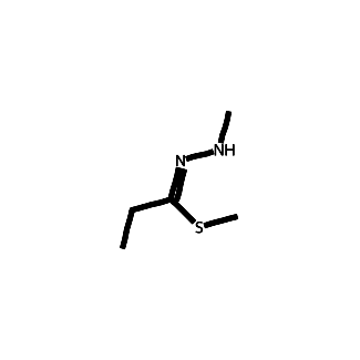 CCC(=NNC)SC